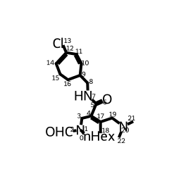 CCCCCCN(C=O)C/C(C(=O)NCC1C=CC(Cl)=CCC1)=C(\C)CN(C)C